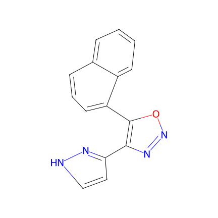 c1ccc2c(-c3onnc3-c3cc[nH]n3)cccc2c1